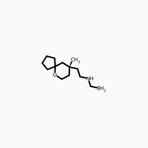 BCNCC[C@]1(C)CCOC2(CCCC2)C1